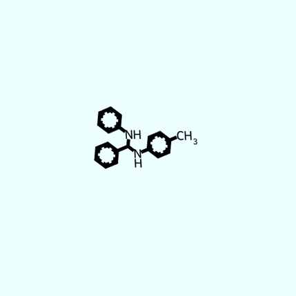 Cc1ccc(NC(Nc2ccccc2)c2ccccc2)cc1